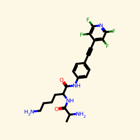 CC(N)C(=O)NC(CCCCN)C(=O)Nc1ccc(C#Cc2c(F)c(F)nc(F)c2F)cc1